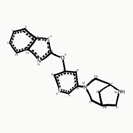 c1ccc2sc(Oc3cncc(N4CC5CNC(C5)C4)c3)nc2c1